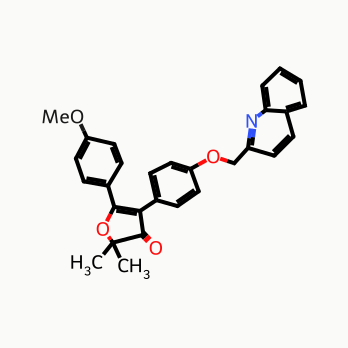 COc1ccc(C2=C(c3ccc(OCc4ccc5ccccc5n4)cc3)C(=O)C(C)(C)O2)cc1